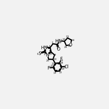 O=C(Cc1[nH]c(=S)n2c1CC(c1c(F)ccc(Cl)c1F)C2)NC1CCOC1